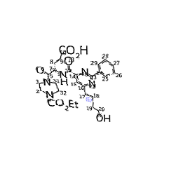 CCOC(=O)N1CCN(C(=O)[C@H](CCC(=O)O)NC(=O)c2cc(/C=C/CCO)nc(-c3ccccc3)n2)CC1